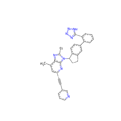 CCc1nc2c(C)cc(C#Cc3cccnc3)nc2n1C1CCc2cc(-c3ccccc3-c3nnn[nH]3)ccc21